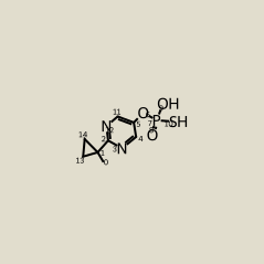 CC1(c2ncc(OP(=O)(O)S)cn2)CC1